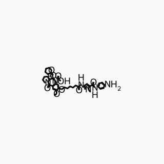 COc1cc2c(cc1OCCCCCC(=O)Nc1cc(C(=O)Nc3ccc(N)cc3)n(C)c1)N(C(=O)O)[C@@H](OC1CCCCO1)[C@@H]1CCCCN1C2=O